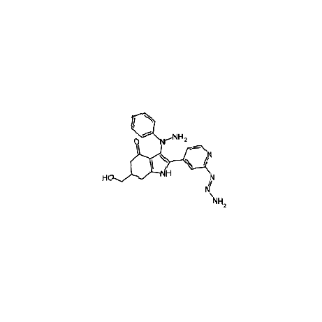 NN=Nc1cc(-c2[nH]c3c(c2N(N)c2ccccc2)C(=O)CC(CO)C3)ccn1